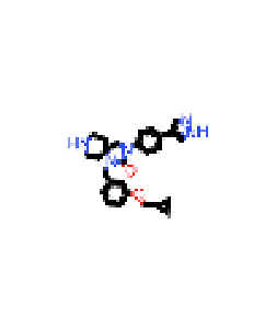 O=C1N(c2ccc(-c3cn[nH]c3)cc2)CC2(CCNCC2)N1Cc1cccc(OCC2CC2)c1